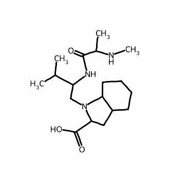 CNC(C)C(=O)NC(CN1C(C(=O)O)CC2CCCCC21)C(C)C